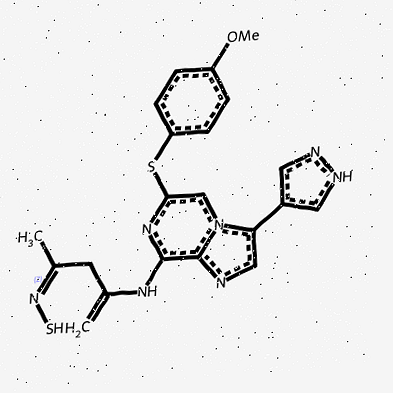 C=C(C/C(C)=N\S)Nc1nc(Sc2ccc(OC)cc2)cn2c(-c3cn[nH]c3)cnc12